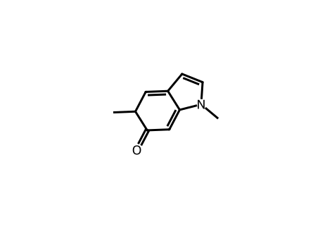 CC1C=c2ccn(C)c2=CC1=O